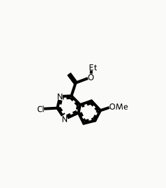 C=C(OCC)c1nc(Cl)nc2ccc(OC)cc12